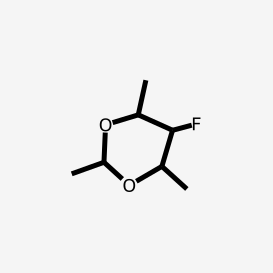 CC1OC(C)C(F)C(C)O1